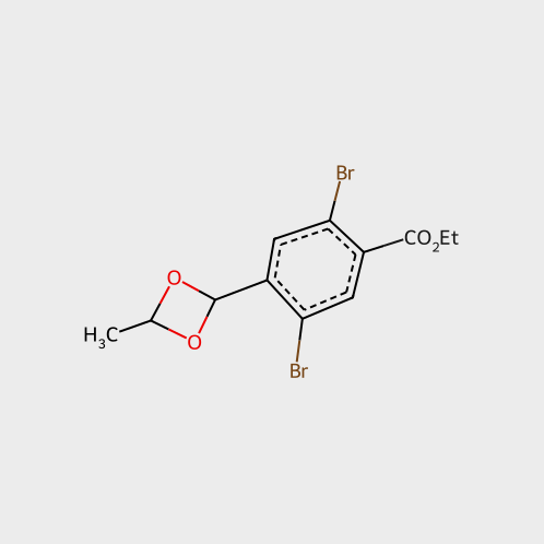 CCOC(=O)c1cc(Br)c(C2OC(C)O2)cc1Br